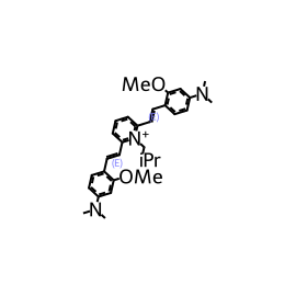 COc1cc(N(C)C)ccc1/C=C/c1cccc(/C=C/c2ccc(N(C)C)cc2OC)[n+]1CC(C)C